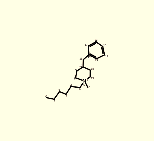 CCCCCC[N+]1(C)CCC(Cc2ccccc2)CC1